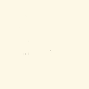 CC(N)C1(CCCc2ccc(C3CC(C)(C)CC(C)(C)C3)c(Cl)c2)CCCCC1.Cl